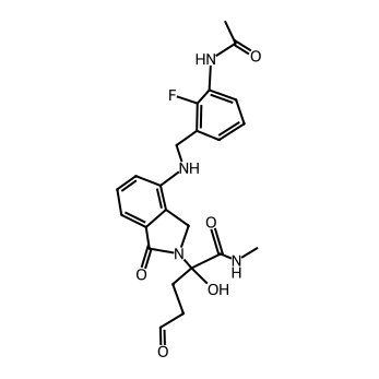 CNC(=O)C(O)(CCC=O)N1Cc2c(NCc3cccc(NC(C)=O)c3F)cccc2C1=O